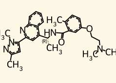 Cc1cc(-c2cc([C@@H](C)NC(=O)c3cc(OCCN(C)C)ccc3C)c3ccccc3n2)n(C)n1